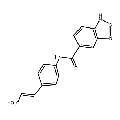 O=C(O)/C=C/c1ccc(NC(=O)c2ccc3[nH]nnc3c2)cc1